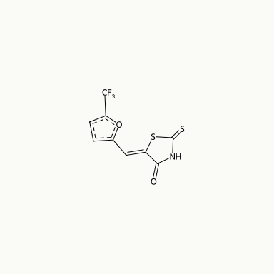 O=C1NC(=S)SC1=Cc1ccc(C(F)(F)F)o1